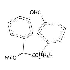 COC(C(=O)O)c1ccccc1.O=Cc1cccc(C(=O)O)c1